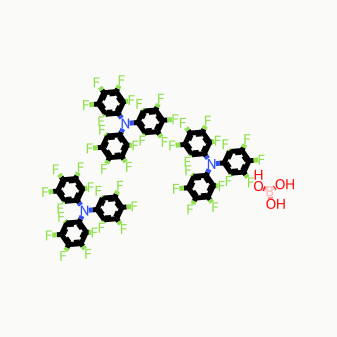 Fc1c(F)c(F)c(N(c2c(F)c(F)c(F)c(F)c2F)c2c(F)c(F)c(F)c(F)c2F)c(F)c1F.Fc1c(F)c(F)c(N(c2c(F)c(F)c(F)c(F)c2F)c2c(F)c(F)c(F)c(F)c2F)c(F)c1F.Fc1c(F)c(F)c(N(c2c(F)c(F)c(F)c(F)c2F)c2c(F)c(F)c(F)c(F)c2F)c(F)c1F.OB(O)O